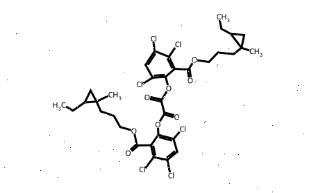 CCC1CC1(C)CCCOC(=O)c1c(Cl)c(Cl)cc(Cl)c1OC(=O)C(=O)Oc1c(Cl)cc(Cl)c(Cl)c1C(=O)OCCCC1(C)CC1CC